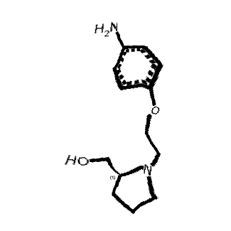 Nc1ccc(OCCN2CCC[C@H]2CO)cc1